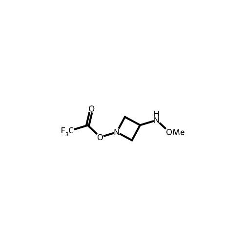 CONC1CN(OC(=O)C(F)(F)F)C1